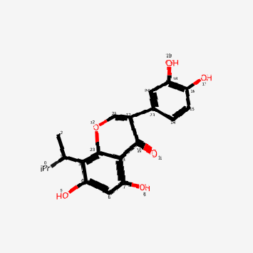 CC(C)C(C)c1c(O)cc(O)c2c(=O)c(-c3ccc(O)c(O)c3)coc12